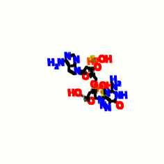 Nc1nc2c(nnn2C2O[C@H](CO)C[C@H]2P(O)(=S)OC[C@H]2O[C@@H](n3ccc4c(N)ncnc43)C[C@@H]2O[PH](O)=S)c(=O)[nH]1